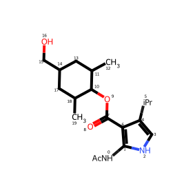 CC(=O)Nc1[nH]cc(C(C)C)c1C(=O)OC1C(C)CC(CO)CC1C